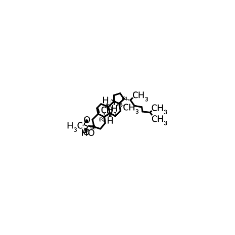 CC(C)CCCC(C)[C@H]1CC[C@H]2[C@@H]3CC=C4C[C@](O)(S(C)(=O)=O)CC[C@]4(C)[C@H]3CC[C@]12C